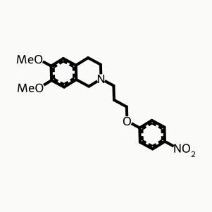 COc1cc2c(cc1OC)CN(CCCOc1ccc([N+](=O)[O-])cc1)CC2